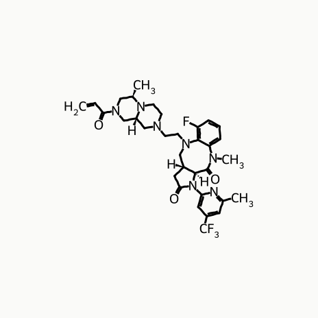 C=CC(=O)N1C[C@H]2CN(CCN3C[C@H]4CC(=O)N(c5cc(C(F)(F)F)cc(C)n5)[C@@H]4C(=O)N(C)c4cccc(F)c43)CCN2[C@H](C)C1